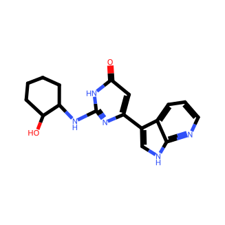 O=c1cc(-c2c[nH]c3ncccc23)nc(NC2CCCCC2O)[nH]1